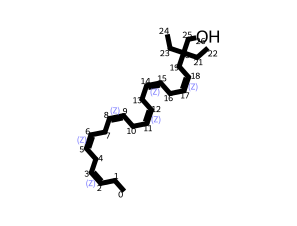 CC/C=C\C/C=C\C/C=C\C/C=C\C/C=C\C/C=C\CC(CC)(CC)CO